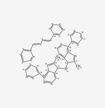 C(C=Cc1ccccc1)=Cc1ccccc1.CC1=Cc2c(-c3ccccc3)cccc2[CH]1[Zr][CH]1C(C)=Cc2c(-c3ccccc3)cccc21